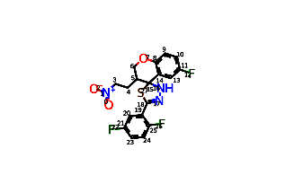 O=[N+]([O-])CCC1COc2ccc(F)cc2C12NN=C(c1cc(F)ccc1F)S2